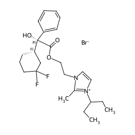 CCC(CC)[n+]1ccn(CCOC(=O)[C@](O)(c2ccccc2)[C@H]2CCCC(F)(F)C2)c1C.[Br-]